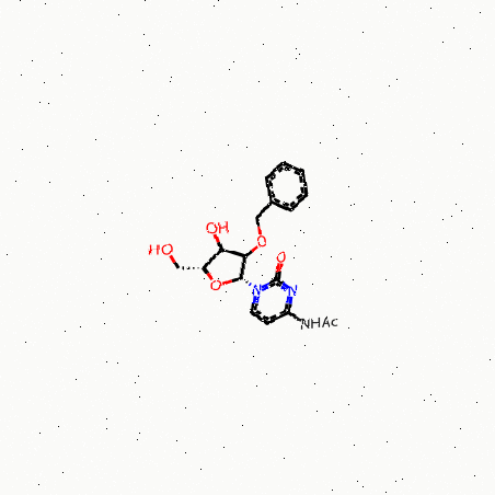 CC(=O)Nc1ccn([C@@H]2O[C@H](CO)C(O)C2OCc2ccccc2)c(=O)n1